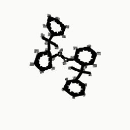 CC(C)(c1ccccc1)c1ccccc1OOc1ccccc1C(C)(C)c1ccccc1